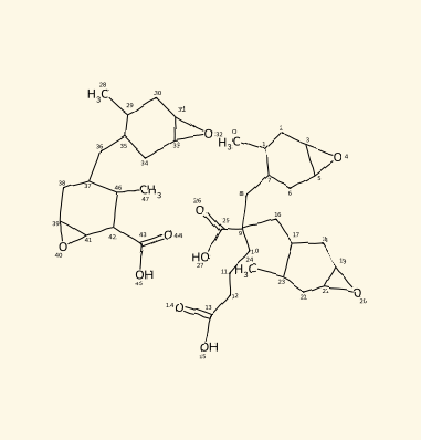 CC1CC2OC2CC1CC(CCCC(=O)O)(CC1CC2OC2CC1C)C(=O)O.CC1CC2OC2CC1CC1CC2OC2C(C(=O)O)C1C